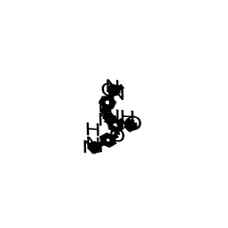 Cc1noc(C2CCN(Cc3nc4cc(Oc5ccc(-c6ccn[nH]6)cc5)ccc4[nH]3)CC2)n1.c1cocn1